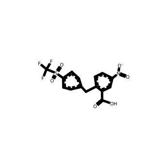 O=C(O)c1cc([N+](=O)[O-])ccc1Cc1ccc(S(=O)(=O)C(F)(F)F)cc1